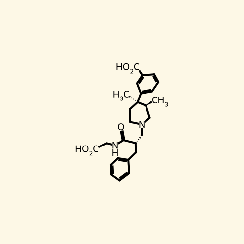 C[C@H]1CN(C[C@H](Cc2ccccc2)C(=O)NCC(=O)O)CC[C@@]1(C)c1cccc(C(=O)O)c1